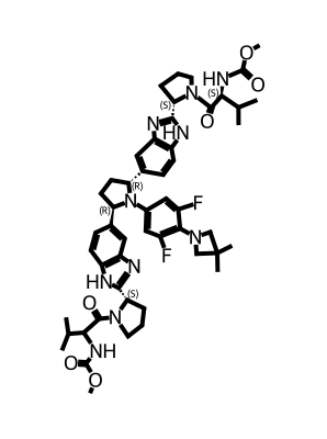 COC(=O)NC(C(=O)N1CCC[C@H]1c1nc2cc([C@H]3CC[C@H](c4ccc5[nH]c([C@@H]6CCCN6C(=O)[C@@H](NC(=O)OC)C(C)C)nc5c4)N3c3cc(F)c(N4CC(C)(C)C4)c(F)c3)ccc2[nH]1)C(C)C